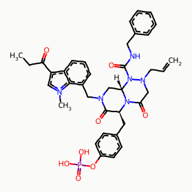 C=CCN1CC(=O)N2[C@@H](Cc3ccc(OP(=O)(O)O)cc3)C(=O)N(Cc3cccc4c(C(=O)CC)cn(C)c34)C[C@@H]2N1C(=O)NCc1ccccc1